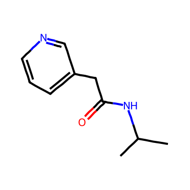 CC(C)NC(=O)Cc1cccnc1